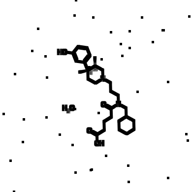 C[C@H]1CN(CCCN(CC2CCCCC2)C(=O)CCCC(=O)O)CC[C@]1(C)c1cccc(O)c1.O